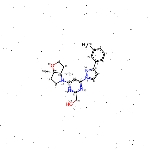 Cc1cccc(-c2ccn(-c3cc(N4CC[C@H]5OCC[C@H]54)nc(CO)n3)n2)c1